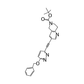 CC(C)(C)OC(=O)N1CCc2ncc(C#Cc3ccc(OCc4ccccc4)nn3)cc2C1